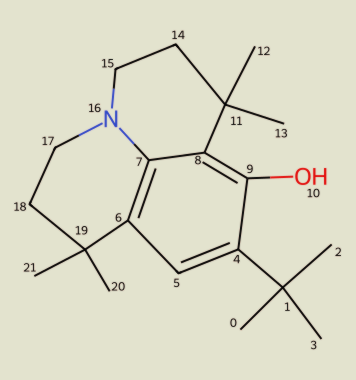 CC(C)(C)c1cc2c3c(c1O)C(C)(C)CCN3CCC2(C)C